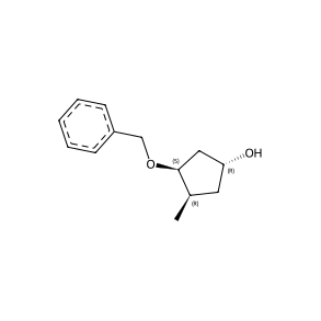 C[C@@H]1C[C@@H](O)C[C@@H]1OCc1ccccc1